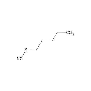 N#CSCCCCC(Cl)(Cl)Cl